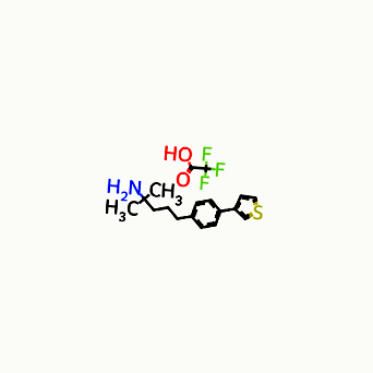 CC(C)(N)CCCc1ccc(-c2ccsc2)cc1.O=C(O)C(F)(F)F